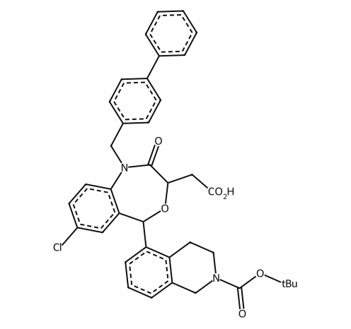 CC(C)(C)OC(=O)N1CCc2c(cccc2C2OC(CC(=O)O)C(=O)N(Cc3ccc(-c4ccccc4)cc3)c3ccc(Cl)cc32)C1